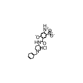 COc1cc(N)c([N+](=O)[O-])cc1C(=O)NC1CCN(CC2=CCC=CC2)CC1.Cl